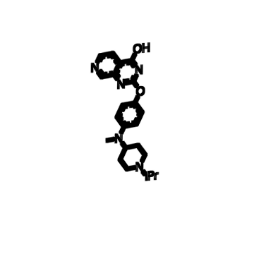 CC(C)N1CCC(N(C)c2ccc(Oc3nc(O)c4ccncc4n3)cc2)CC1